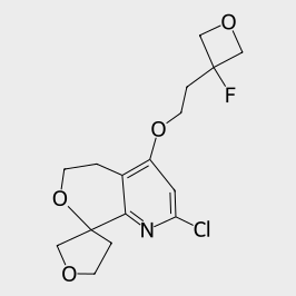 FC1(CCOc2cc(Cl)nc3c2CCOC32CCOC2)COC1